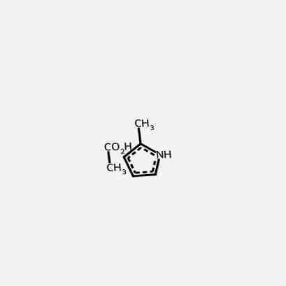 CC(=O)O.Cc1ccc[nH]1